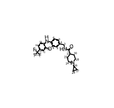 O=C(NCc1ccc2c(c1)Oc1cc(C(F)(F)F)ccc1N2)C1CCN(C2CC2)CC1